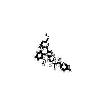 COc1cccc(-c2nnc(NS(=O)(=O)[C@H](C)[C@H](O)c3ncc(C)cn3)n2-c2c(OC)cccc2OC)n1